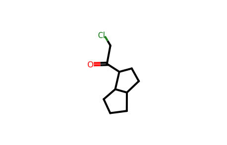 O=C(CCl)C1CCC2CCCC21